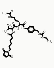 CCNC(=O)OCc1ccc(NC(=O)[C@H](CCCNC(N)=O)NC(=O)[C@@H](NC(=O)CCCCCN2C(=O)C=CC2=O)C(C)C)cc1